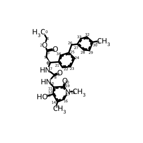 CCOC(=O)C[C@H](NC(=O)Nc1c(O)c(C)cn(C)c1=O)c1cccc(Cc2ccc(C)cc2)c1